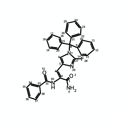 NC(=O)/C(=C\c1cn(C(c2ccccc2)(c2ccccc2)c2ccccc2)c(F)n1)NC(=O)c1ccccc1